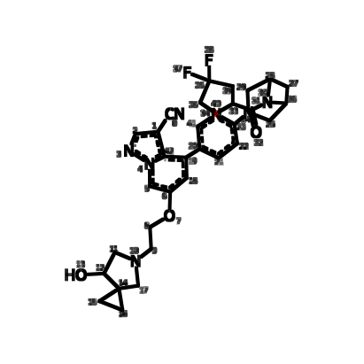 N#Cc1cnn2cc(OCCN3CC(O)C4(CC4)C3)cc(-c3ccc(N4CC5CC(C4)N5C(=O)C4CCC(F)(F)C4)nc3)c12